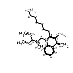 C=C1C(C)=C(CCCCCCC)N(CN(C)C(SC)SC)c2ccccc21